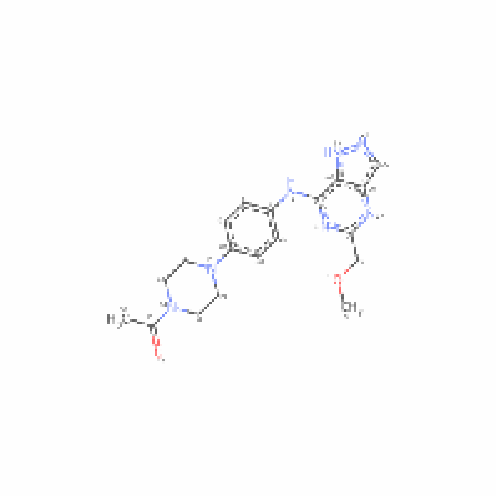 COCc1nc(Nc2ccc(N3CCN(C(C)=O)CC3)cc2)c2[nH]ncc2n1